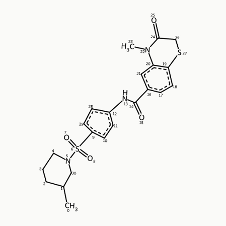 CC1CCCN(S(=O)(=O)c2ccc(NC(=O)c3ccc4c(c3)N(C)C(=O)CS4)cc2)C1